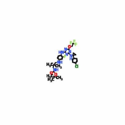 CC(C)(CNC(=O)OC(C)(C)C)CNc1ccc(Nc2nc(NC3(c4ccc(Cl)cc4)CC3)nc(OCC(F)(F)F)n2)c(F)c1